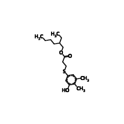 CCCCC(CC)COC(=O)CCSc1cc(C)c(C)c(O)c1